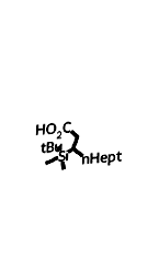 CCCCCCCC(CC(=O)O)[Si](C)(C)C(C)(C)C